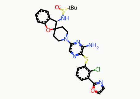 CC(C)(C)[S+]([O-])N[C@@H]1c2ccccc2OC12CCN(c1cnc(Sc3cccc(-c4ncco4)c3Cl)c(N)n1)CC2